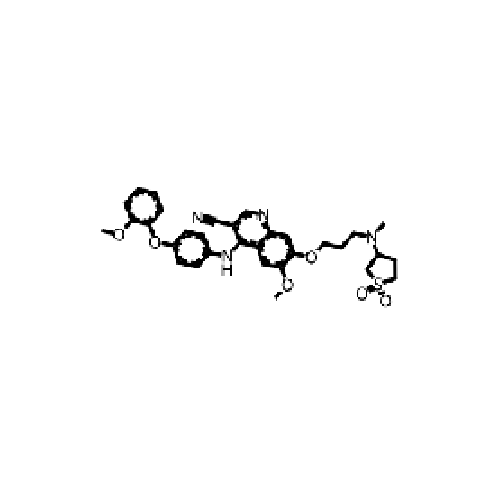 COc1cc2c(Nc3ccc(Oc4ccccc4OC)cc3)c(C#N)cnc2cc1OCCCN(C)C1CCS(=O)(=O)C1